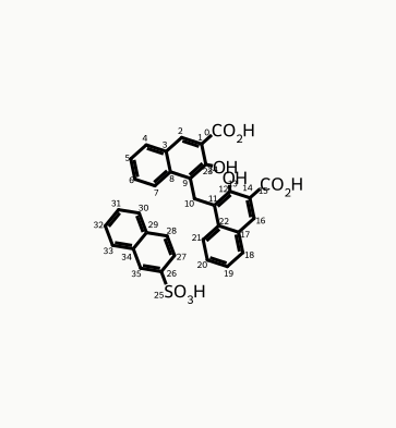 O=C(O)c1cc2ccccc2c(Cc2c(O)c(C(=O)O)cc3ccccc23)c1O.O=S(=O)(O)c1ccc2ccccc2c1